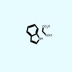 CCCCCCCCCC(=O)O.c1ccc2[nH]ccc2c1